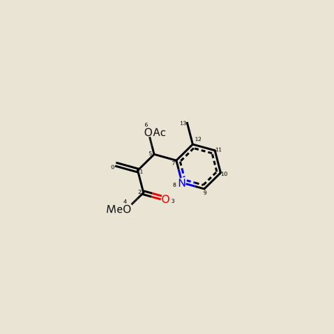 C=C(C(=O)OC)C(OC(C)=O)c1ncccc1C